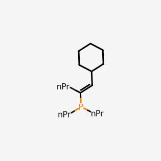 CCC/C(=C\C1CCCCC1)P(CCC)CCC